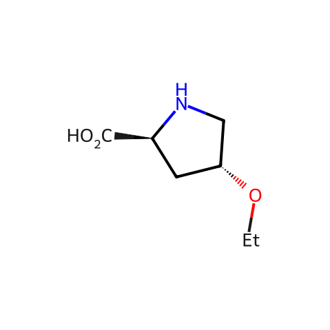 CCO[C@H]1CN[C@H](C(=O)O)C1